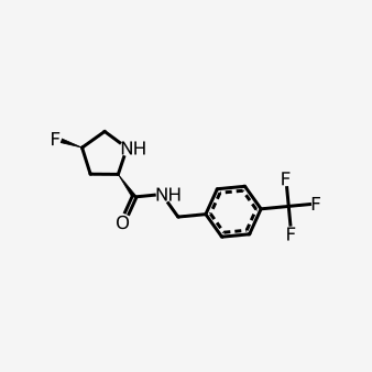 O=C(NCc1ccc(C(F)(F)F)cc1)[C@H]1C[C@@H](F)CN1